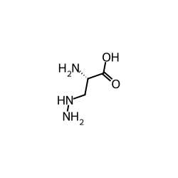 NNC[C@H](N)C(=O)O